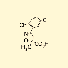 CC1(C(=O)O)CC(c2cc(Cl)ccc2Cl)=NO1